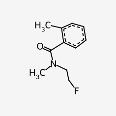 Cc1ccccc1C(=O)N(C)CCF